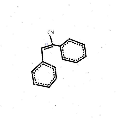 N#C/C(=C/c1ccccc1)c1ccccc1